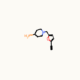 C#Cc1ccc(CN2CCC(P)CC2)o1